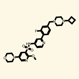 COc1ncc(N2CCOCC2)cc1S(=O)(=O)Nc1ccnc(-c2ccc(CN3CCN(C4CCC4)CC3)cc2F)c1